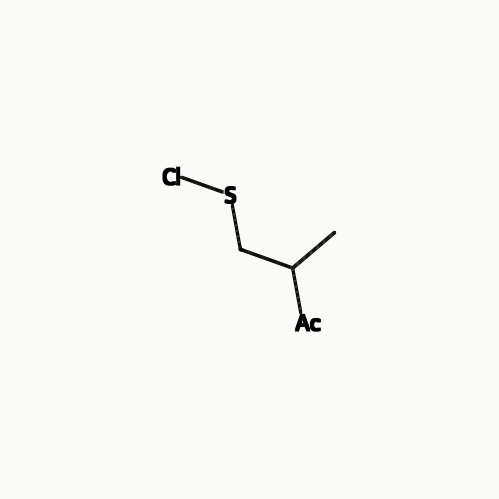 CC(=O)C(C)CSCl